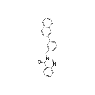 O=c1c2ccccc2ncn1Cc1cccc(-c2ccc3ccccc3c2)c1